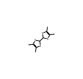 CC1=C(C)SC(C2SC(C)=C(C)S2)S1